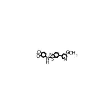 COc1cncc(-c2ccc3nc(Nc4ccc5c(c4)OCO5)sc3c2)c1